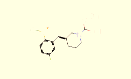 CC(C)(C)OC(O)N1CCC/C(=C\c2cc(F)ccc2[S+]([O-])Cl)C1